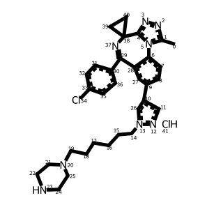 Cc1nnc2n1-c1ccc(-c3cnn(CCCCCCN4CCNCC4)c3)cc1C(c1ccc(Cl)cc1)=NC21CC1.Cl